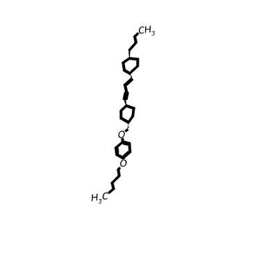 CCCCCOc1ccc(OC[C@H]2CC[C@H](C#CC=C[C@H]3CC[C@H](CCCC)CC3)CC2)cc1